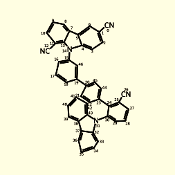 N#Cc1ccc2c(c1)c1cccc(C#N)c1n2-c1cccc(-c2ccc(-c3c(C#N)cccc3-n3c4ccccc4c4ccccc43)cc2)c1